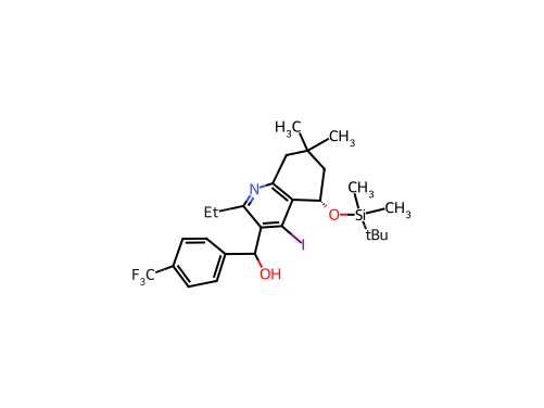 CCc1nc2c(c(I)c1C(O)c1ccc(C(F)(F)F)cc1)[C@@H](O[Si](C)(C)C(C)(C)C)CC(C)(C)C2